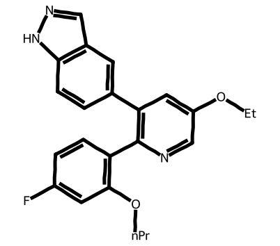 CCCOc1cc(F)ccc1-c1ncc(OCC)cc1-c1ccc2[nH]ncc2c1